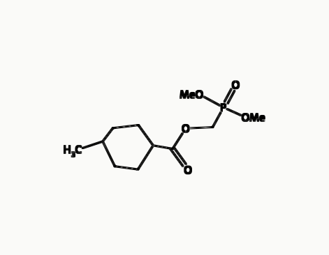 COP(=O)(COC(=O)C1CCC(C)CC1)OC